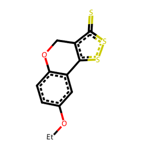 CCOc1ccc2c(c1)-c1ssc(=S)c1CO2